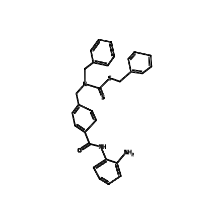 Nc1ccccc1NC(=O)c1ccc(CN(Cc2ccccc2)C(=S)SCc2ccccc2)cc1